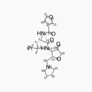 CC(C)C(C)(C)C[C@H](NC(=O)c1ccoc1)C(=O)NC1C(=O)COC1CN1CCCC1